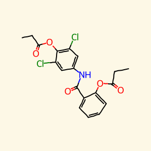 CCC(=O)Oc1ccccc1C(=O)Nc1cc(Cl)c(OC(=O)CC)c(Cl)c1